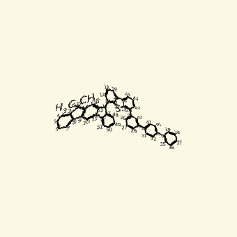 CC1(C)c2ccccc2-c2cc3c(cc21)C(c1cccc2c1sc1c(-c4cccc(-c5ccc(-c6ccccc6)cc5)c4)cccc12)c1ccccc1-3